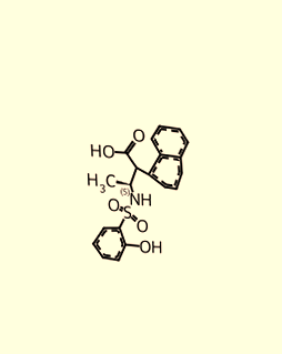 C[C@H](NS(=O)(=O)c1ccccc1O)C(C(=O)O)c1cccc2ccccc12